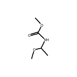 COC(=O)NC(C)OC